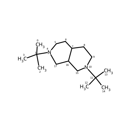 CC(C)(C)N1CCC2CCN(C(C)(C)C)CC2C1